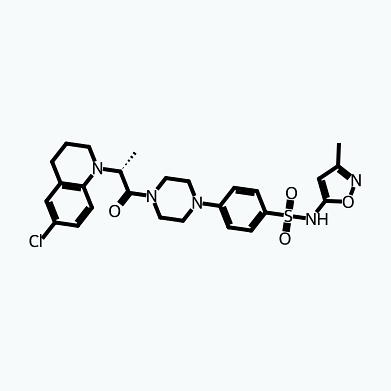 Cc1cc(NS(=O)(=O)c2ccc(N3CCN(C(=O)[C@@H](C)N4CCCc5cc(Cl)ccc54)CC3)cc2)on1